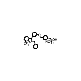 O=P(O)(O)Cc1ccc(COc2cccc(-c3c4cccc(C(F)(F)F)c4nn3Cc3ccccc3)c2)cc1